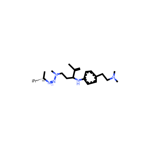 C=C(C)C(CCN(C)/N=N\[C@@H](C)C(C)C)Nc1ccc(CCN(C)C)cc1